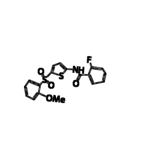 COc1ccccc1S(=O)(=O)c1ccc(NC(=O)c2ccccc2F)s1